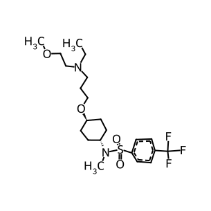 CCN(CCCO[C@H]1CC[C@H](N(C)S(=O)(=O)c2ccc(C(F)(F)F)cc2)CC1)CCOC